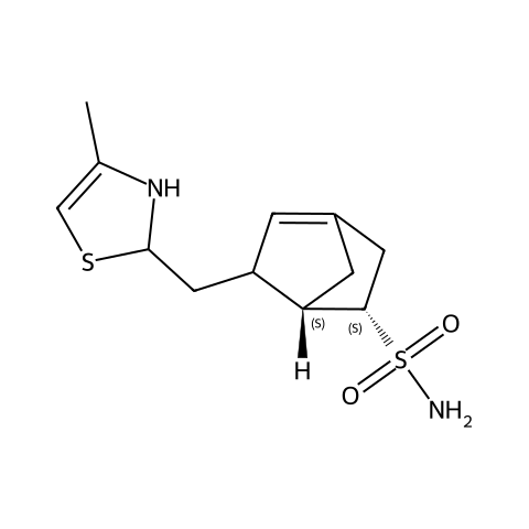 CC1=CSC(CC2C=C3C[C@@H]2[C@@H](S(N)(=O)=O)C3)N1